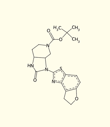 CC(C)(C)OC(=O)N1CCC2NC(=O)N(c3nc4c5c(ccc4s3)OCC5)C2C1